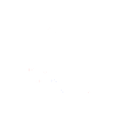 COc1ccc2nc(Nc3ccc(-c4ccc(C(=O)C5CC5)cc4)cc3)sc2c1.O=C(O)O